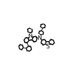 c1ccc(-c2ccc(N(c3ccc4sc5ccccc5c4c3)c3ccc4c5c(-c6ccccc6-c6ccccc6)cccc5n(-c5ccccc5)c4c3)cc2)cc1